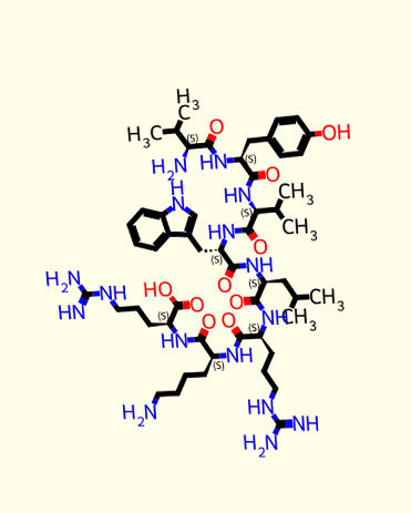 CC(C)C[C@H](NC(=O)[C@H](Cc1c[nH]c2ccccc12)NC(=O)[C@@H](NC(=O)[C@H](Cc1ccc(O)cc1)NC(=O)[C@@H](N)C(C)C)C(C)C)C(=O)N[C@@H](CCCNC(=N)N)C(=O)N[C@@H](CCCCN)C(=O)N[C@@H](CCCNC(=N)N)C(=O)O